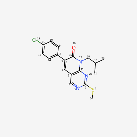 CSc1ncc2cc(-c3ccc(Cl)cc3)c(=O)n(CC(C)C)c2n1